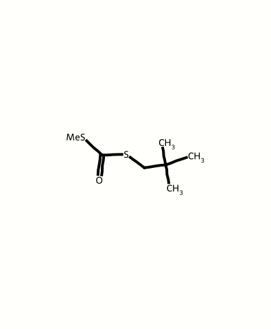 CSC(=O)SCC(C)(C)C